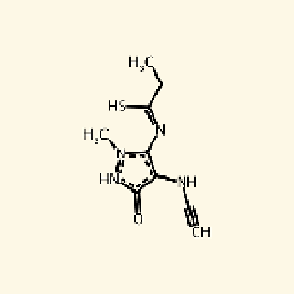 C#CNc1c(/N=C(\S)CC)n(C)[nH]c1=O